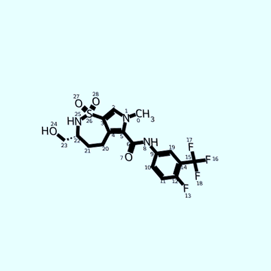 Cn1cc2c(c1C(=O)Nc1ccc(F)c(C(F)(F)F)c1)CC[C@H](CO)NS2(=O)=O